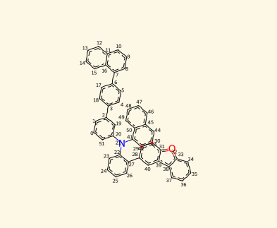 c1cc(-c2ccc(-c3cccc4ccccc34)cc2)cc(N(c2ccccc2-c2ccc3oc4ccccc4c3c2)c2cccc3ccccc23)c1